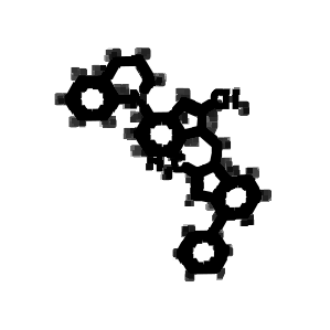 CC1=Cc2c(-c3ccccc3)cccc2C1CC1C(C)=Cc2c1cccc2N1CCCc2ccccc21